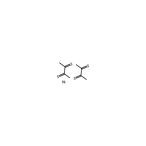 CC(=S)C(C)=S.CC(=S)C(C)=S.[Ni]